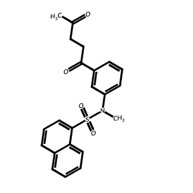 CC(=O)CCC(=O)c1cccc(N(C)S(=O)(=O)c2cccc3ccccc23)c1